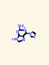 Nc1nc(-n2ccnc2)c2nc[nH]c2n1